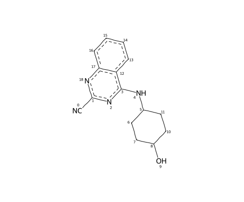 N#Cc1nc(NC2CCC(O)CC2)c2ccccc2n1